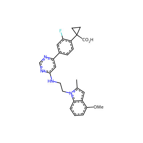 COc1cccc2c1cc(C)n2CCNc1cc(-c2ccc(C3(C(=O)O)CC3)c(F)c2)ncn1